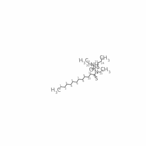 CCCCCCCCCCCCC(=S)N(CC)P(=O)(NCC)SCCC